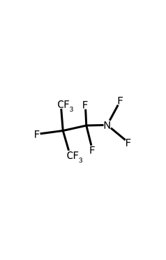 FN(F)C(F)(F)C(F)(C(F)(F)F)C(F)(F)F